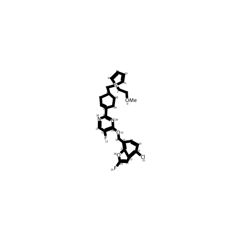 COCCS1(CC2CC=C(c3ncc(F)c(OCc4ccc(Cl)c5cc(F)oc45)n3)CC2)C=CC=C1